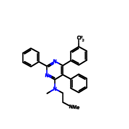 CNCCN(C)c1nc(-c2ccccc2)nc(-c2cccc(C(F)(F)F)c2)c1-c1ccccc1